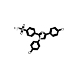 NS(=O)(=O)c1ccc(-c2nc(-c3ccc(Cl)cc3)cn2-c2ccc(Cl)cc2)cc1